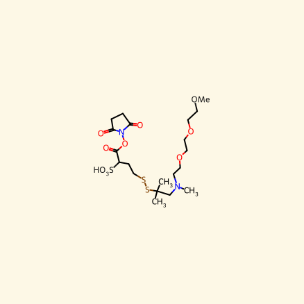 COCCOCCOCCN(C)CC(C)(C)SSCCC(C(=O)ON1C(=O)CCC1=O)S(=O)(=O)O